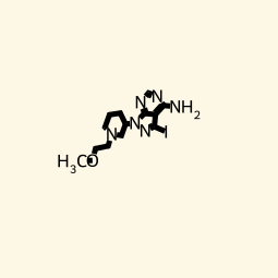 COCCN1CCCC(n2nc(I)c3c(N)ncnc32)C1